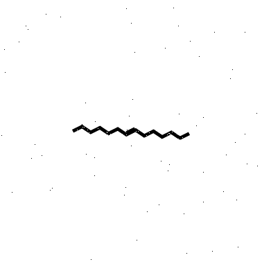 C[CH]CCCCC=CCCCCCC